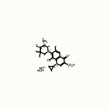 Cc1cc2c(=O)c(C(=O)O)cn(C3CC3)c2c(Cl)c1N1C[C@@H](N)[C@H](C)C(C)(C)C1.Cl.Cl